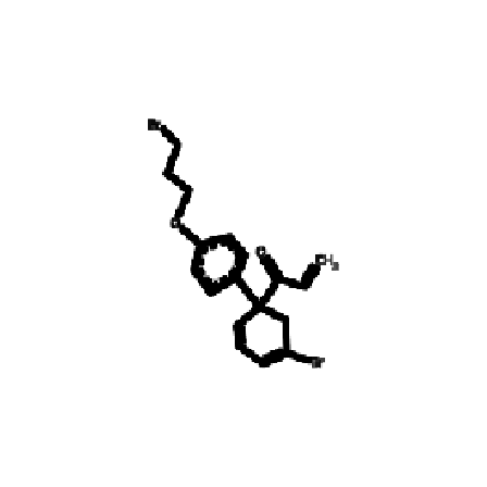 C=CC(=O)C1(c2ccc(OCCCBr)cc2)C=CC=C(Br)C1